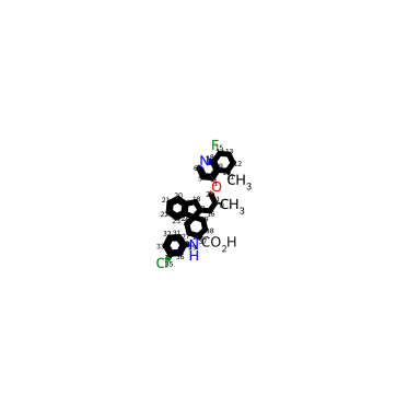 C[C@@H](COc1ccnc2c1[C@H](C)CC[C@H]2F)CC1Cc2ccccc2C12CCC(Nc1cccc(Cl)c1)(C(=O)O)CC2